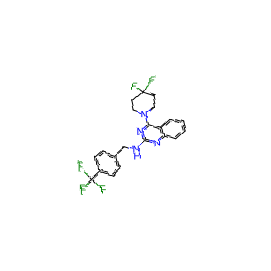 FC1(F)CCN(c2nc(NCc3ccc(C(F)(F)F)cc3)nc3ccccc23)CC1